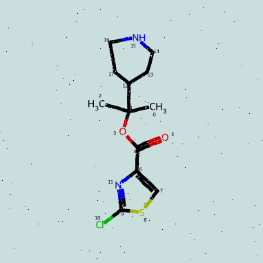 CC(C)(OC(=O)c1csc(Cl)n1)C1CCNCC1